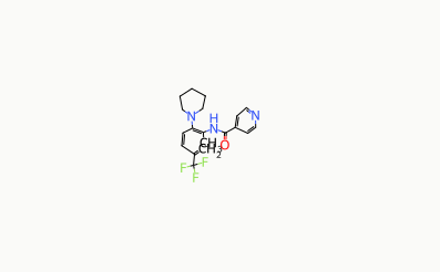 C=C(/C=C\C(=C(/C)NC(=O)c1ccncc1)N1CCCCC1)C(F)(F)F